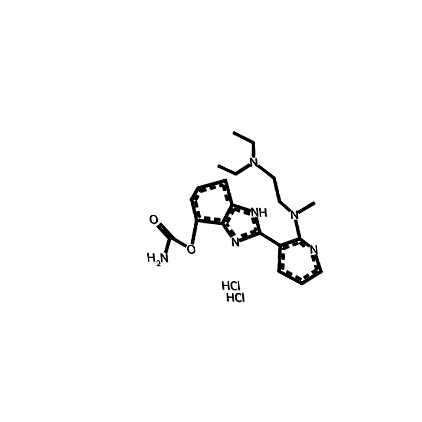 CCN(CC)CCN(C)c1ncccc1-c1nc2c(OC(N)=O)cccc2[nH]1.Cl.Cl